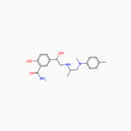 Cc1ccc(N(C)CC(C)NCC(O)c2ccc(O)c(C(N)=O)c2)cc1